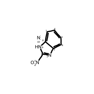 O=[N+]([O-])c1nc2ccccc2[nH]1.[N]